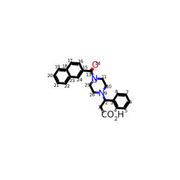 O=C(O)CC(c1ccccc1)N1CCN(C(=O)c2ccc3ccccc3c2)CC1